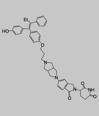 CCC(=C(c1ccc(O)cc1)c1ccc(OCCCN2CC3CN(c4ccc5c(c4)CN(C4CCC(=O)NC4=O)C5=O)CC3C2)cc1)c1ccccc1